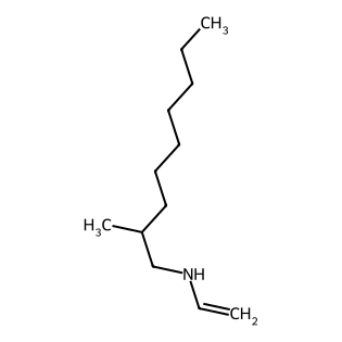 C=CNCC(C)CCCCCCC